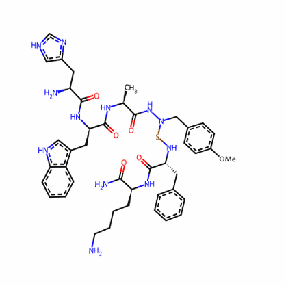 COc1ccc(CN(NC(=O)[C@H](C)NC(=O)[C@@H](Cc2c[nH]c3ccccc23)NC(=O)[C@@H](N)Cc2c[nH]cn2)SN[C@H](Cc2ccccc2)C(=O)N[C@@H](CCCCN)C(N)=O)cc1